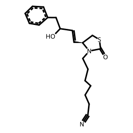 N#CCCCCCCN1C(=O)SC[C@@H]1C=CC(O)Cc1ccccc1